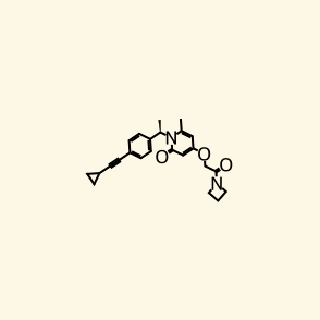 Cc1cc(OCC(=O)N2CCC2)cc(=O)n1[C@H](C)c1ccc(C#CC2CC2)cc1